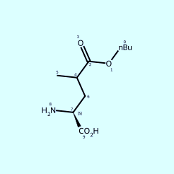 CCCCOC(=O)C(C)C[C@H](N)C(=O)O